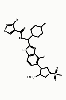 CCOC(=O)C1CN(S(C)(=O)=O)CC1c1ccc2[nH]c(C(NC(=O)c3conc3CC)C3CCC(C)CC3)nc2c1F